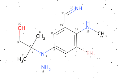 Bc1cc(N(N)C(C)(C)CO)cc(C=N)c1NC